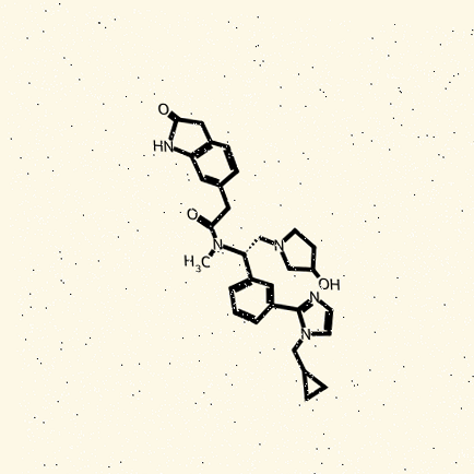 CN(C(=O)Cc1ccc2c(c1)NC(=O)C2)[C@H](CN1CCC(O)C1)c1cccc(-c2nccn2CC2CC2)c1